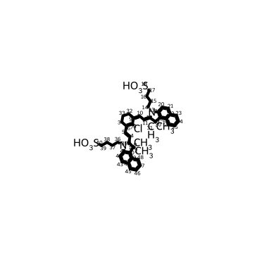 CC1(C)C(/C=C/C2=C(Cl)C(=C\C=C3/N(CCCCS(=O)(=O)O)c4ccc5ccccc5c4C3(C)C)/CCC2)=[N+](CCCCS(=O)(=O)O)c2ccc3ccccc3c21